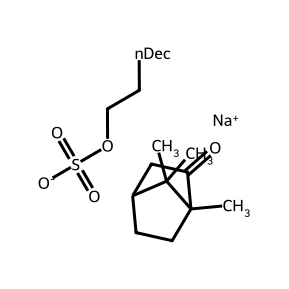 CC12CCC(CC1=O)C2(C)C.CCCCCCCCCCCCOS(=O)(=O)[O-].[Na+]